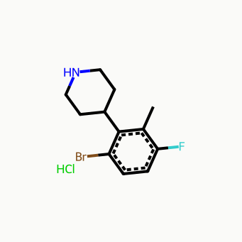 Cc1c(F)ccc(Br)c1C1CCNCC1.Cl